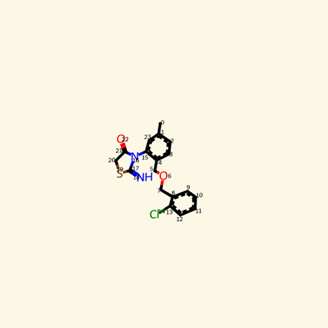 Cc1ccc(COCc2ccccc2Cl)c(N2C(=N)SCC2=O)c1